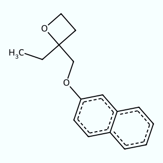 CCC1(COc2ccc3ccccc3c2)CCO1